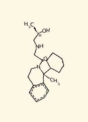 C[C@@H](O)CNCC(=O)N1CCc2ccccc2C1(C)C1CCCCC1